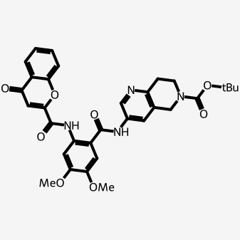 COc1cc(NC(=O)c2cc(=O)c3ccccc3o2)c(C(=O)Nc2cnc3c(c2)CN(C(=O)OC(C)(C)C)CC3)cc1OC